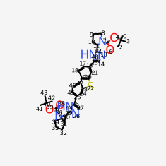 CC(C)(C)OC(=O)N1CCCC1c1ncc(-c2ccc3c(c2)sc2cc(-c4cnc(C5C6CCC(C6)N5C(=O)OC(C)(C)C)[nH]4)ccc23)[nH]1